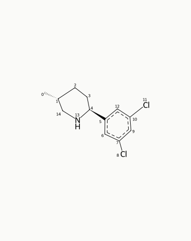 C[C@@H]1CC[C@@H](c2cc(Cl)cc(Cl)c2)NC1